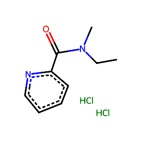 CCN(C)C(=O)c1ccccn1.Cl.Cl